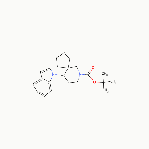 CC(C)(C)OC(=O)N1CCC(n2ccc3ccccc32)C2(CCCC2)C1